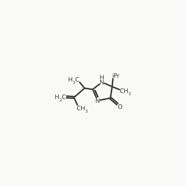 C=C(C)C(C)C1=NC(=O)C(C)(C(C)C)N1